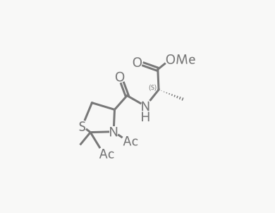 COC(=O)[C@H](C)NC(=O)C1CSC(C)(C(C)=O)N1C(C)=O